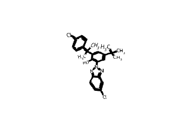 CC(C)(C)c1cc(-n2nc3ccc(Cl)cc3n2)c(O)c(C(C)(C)c2ccc(Cl)cc2)c1